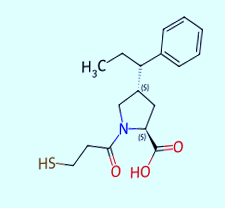 CCC(c1ccccc1)[C@@H]1C[C@@H](C(=O)O)N(C(=O)CCS)C1